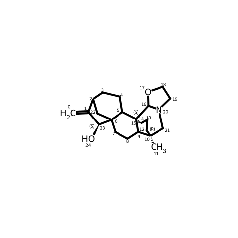 C=C1C2CCC3C(CCC4[C@@]5(C)CCC[C@@]34C3OCCN3C5)(C2)[C@H]1O